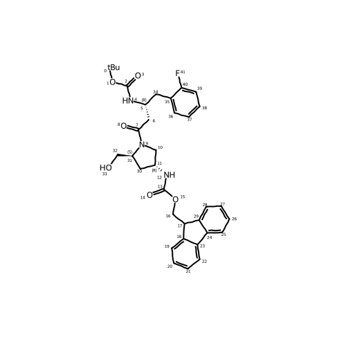 CC(C)(C)OC(=O)N[C@@H](CC(=O)N1C[C@H](NC(=O)OCC2c3ccccc3-c3ccccc32)C[C@H]1CO)Cc1ccccc1F